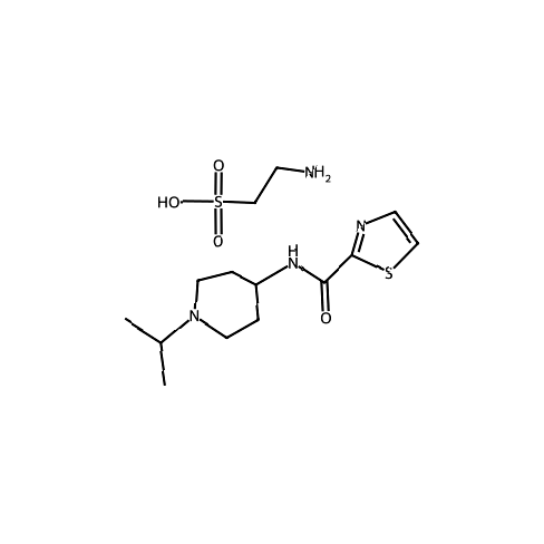 CC(C)N1CCC(NC(=O)c2nccs2)CC1.NCCS(=O)(=O)O